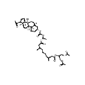 CC(=O)OCC(COC(C)=O)OC(=O)CC(C)CCCCC(C)CC(=O)OC(C)OC(=O)O[C@@H]1CC[C@@]2(C)[C@@H](CC[C@@H]3[C@@H]2CC[C@]2(C)C(C(C)=O)CC[C@@H]32)C1